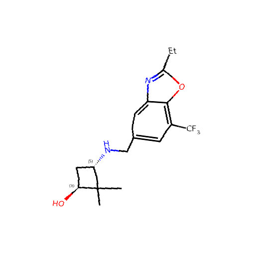 CCc1nc2cc(CN[C@H]3C[C@H](O)C3(C)C)cc(C(F)(F)F)c2o1